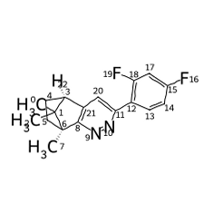 CC1(C)[C@H]2CC[C@]1(C)c1nnc(-c3ccc(F)cc3F)cc12